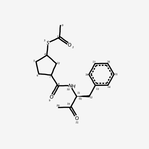 CC(=O)SC1CCC(C(=O)N[C@@H](Cc2ccccc2)C(C)=O)C1